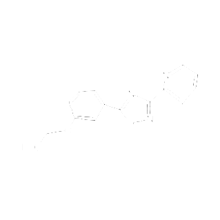 CCOc1cccc(-c2nc(-c3ccccn3)no2)c1